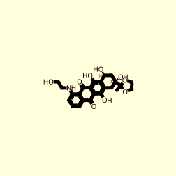 CC1([C@]2(O)Cc3c(O)c4c(c(O)c3[C@@H](O)C2)C(=O)c2c(NCCO)cccc2C4=O)OCCO1